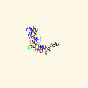 Cn1nc(C(C)(C)C)cc1C(=O)Nc1cc(C(=O)Nc2cnc3[nH]ccc3c2)c(Cl)cc1F